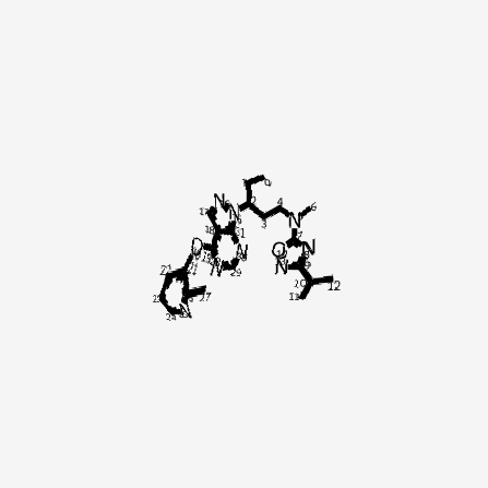 CCC(CCN(C)c1nc(C(C)C)no1)n1ncc2c(Oc3cccnc3C)ncnc21